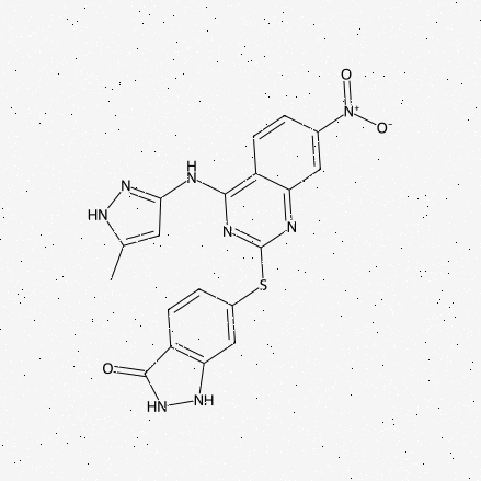 Cc1cc(Nc2nc(Sc3ccc4c(=O)[nH][nH]c4c3)nc3cc([N+](=O)[O-])ccc23)n[nH]1